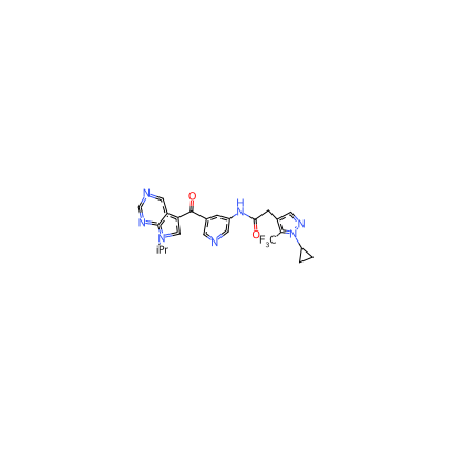 CC(C)n1cc(C(=O)c2cncc(NC(=O)Cc3cnn(C4CC4)c3C(F)(F)F)c2)c2cncnc21